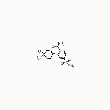 CC1(C)CC=C(c2cc(S(C)(=O)=O)ccc2C(N)=O)CC1